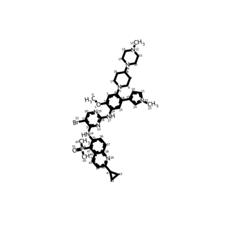 COc1cc(N2CCC(N3CCN(C)CC3)CC2)c(-c2ccn(C)c2)cc1Nc1ncc(Br)c(Nc2ccc3nc(C4CC4)ccc3c2P(C)(C)=O)n1